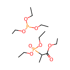 CCOC(=O)C(C)P(=O)(OCC)OCC.CCOP(OCC)OCC